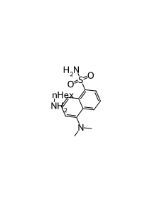 CCCCCCN.CN(C)c1cccc2c(S(N)(=O)=O)cccc12